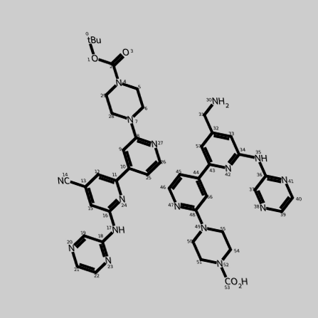 CC(C)(C)OC(=O)N1CCN(c2cc(-c3cc(C#N)cc(Nc4cnccn4)n3)ccn2)CC1.NCc1cc(Nc2cnccn2)nc(-c2ccnc(N3CCN(C(=O)O)CC3)c2)c1